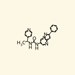 CC(NC(=O)Nc1cnc2cc(-c3ccccc3)nn2c1)c1ccncc1